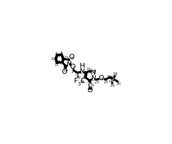 C[C@@H](CON1C(=O)c2ccccc2C1=O)NC1=C(C(F)(F)F)C(=C=O)N(COCC[Si](C)(C)C)N=C1